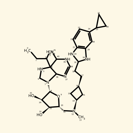 CCC(C)C12NCN([C@@H]3O[C@H](CN(C)[C@H]4C[C@@H](CCC5Nc6ccc(C7CC7)cc6N5)C4)[C@@H](O)[C@H]3O)C1N=CNC2N